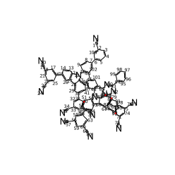 N#Cc1cccc(-c2ccc(-n3c4ccc(-c5cc(C#N)cc(C#N)c5)cc4c4cc(-c5cc(C#N)cc(C#N)c5)ccc43)c(-c3ccc(-n4c5ccc(-c6cc(C#N)cc(C#N)c6)cc5c5cc(-c6cc(C#N)cc(C#N)c6)ccc54)c(-c4nc(-c5ccccc5)nc(-c5ccccc5)n4)c3)c2)c1